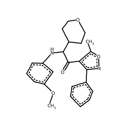 COc1cccc(NC(C(=O)c2c(-c3ccccc3)noc2C)C2CCOCC2)c1